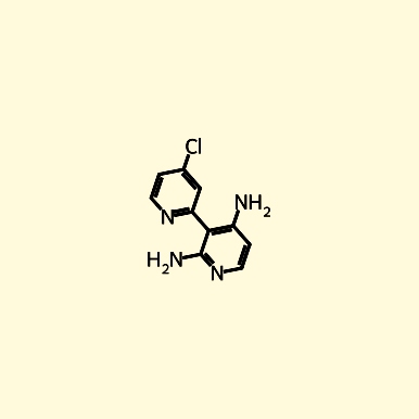 Nc1ccnc(N)c1-c1cc(Cl)ccn1